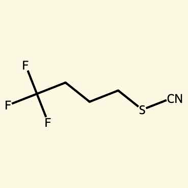 N#CSCCCC(F)(F)F